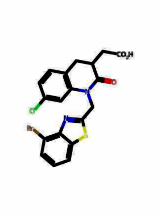 O=C(O)CC1Cc2ccc(Cl)cc2N(Cc2nc3c(Br)cccc3s2)C1=O